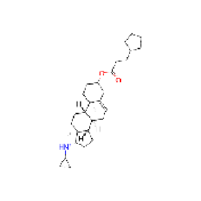 C[C@]12CC[C@H]3[C@@H](CC=C4C[C@@H](OC(=O)CCC5CCCC5)CC[C@@]43C)[C@@H]1CC[C@@H]2NC1CC1